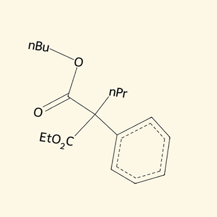 CCCCOC(=O)C(CCC)(C(=O)OCC)c1ccccc1